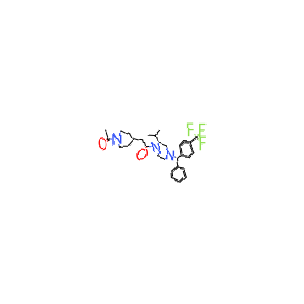 CC(=O)N1CCC(CC(=O)N2CCN(C(c3ccccc3)c3ccc(C(F)(F)F)cc3)C[C@@H]2C(C)C)CC1